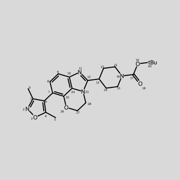 Cc1noc(C)c1-c1ccc2nc(C3CCN(C(=O)OC(C)(C)C)CC3)n3c2c1OCC3